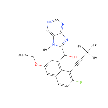 COCOc1cc(C(O)c2nc3ncncc3n2C(C)C)c2c(C#C[Si](C(C)C)(C(C)C)C(C)C)c(F)ccc2c1